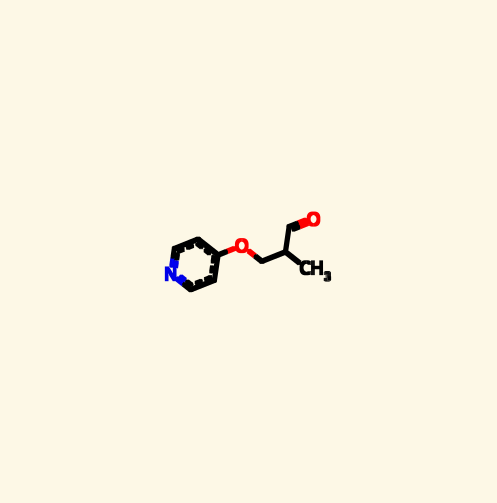 CC(C=O)COc1ccncc1